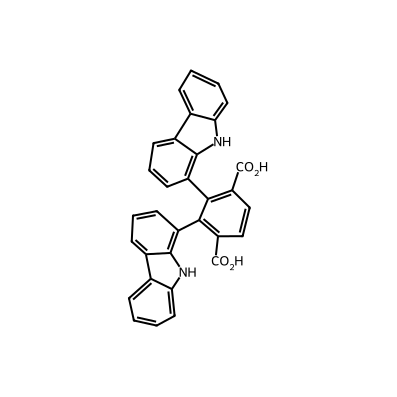 O=C(O)c1ccc(C(=O)O)c(-c2cccc3c2[nH]c2ccccc23)c1-c1cccc2c1[nH]c1ccccc12